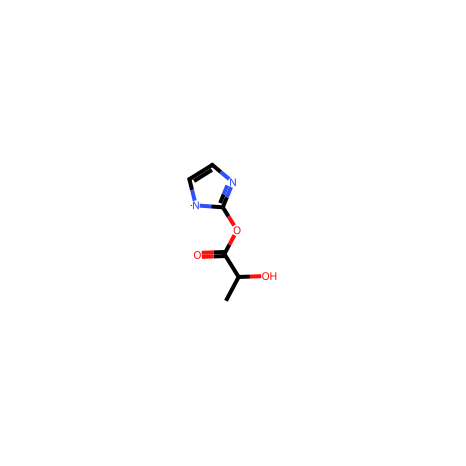 CC(O)C(=O)OC1=NC=C[N]1